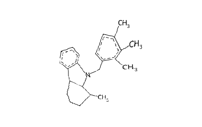 Cc1ccc(CN2c3ccccc3C3CCCC(C)C32)c(C)c1C